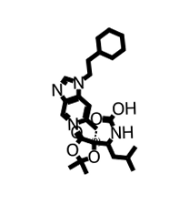 CC(C)CC(NC(=O)O)[C@@]1(Cc2cc3c(cn2)ncn3CCC2CCCCC2)OC(C)(C)OC1=O